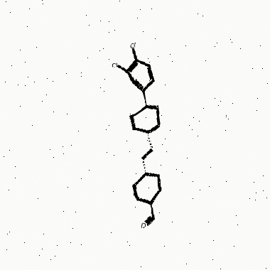 O=C[C@H]1CC[C@H](CC[C@H]2CC[C@H](c3ccc(Cl)c(Cl)c3)CC2)CC1